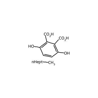 CCCCCCCC.O=C(O)c1c(O)ccc(O)c1C(=O)O